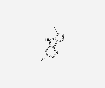 Cc1csc2c1[nH]c1cc(Br)cnc12